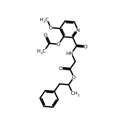 COc1ccnc(C(=O)NCC(=O)OC(C)Cc2ccccc2)c1OC(C)=O